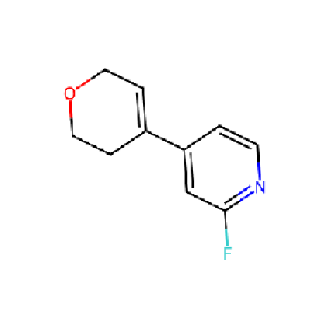 Fc1cc(C2=CCOCC2)ccn1